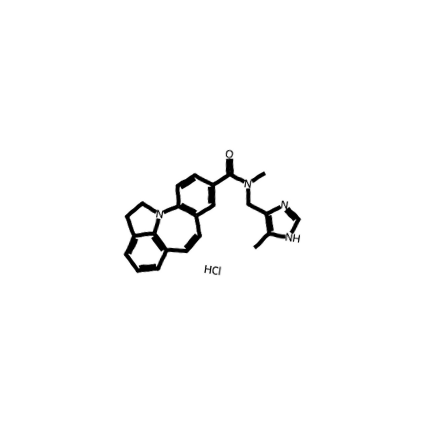 Cc1[nH]cnc1CN(C)C(=O)c1ccc2c(c1)C=Cc1cccc3c1N2CC3.Cl